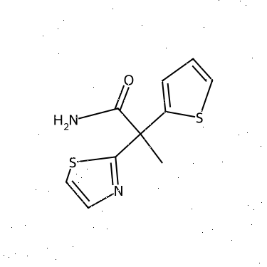 CC(C(N)=O)(c1cccs1)c1nccs1